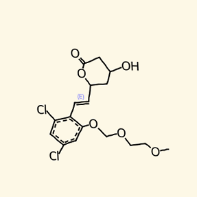 COCCOCOc1cc(Cl)cc(Cl)c1/C=C/C1CC(O)CC(=O)O1